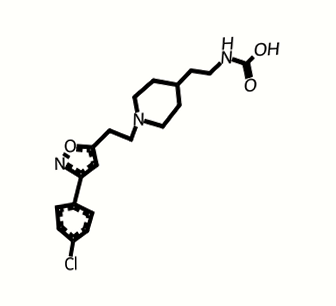 O=C(O)NCCC1CCN(CCc2cc(-c3ccc(Cl)cc3)no2)CC1